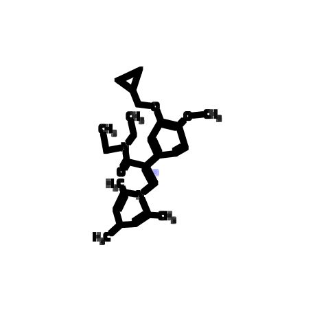 CCN(CC)C(=O)/C(=C\N1C(C)=CC(C)C=C1C)c1ccc(OC)c(OCC2CC2)c1